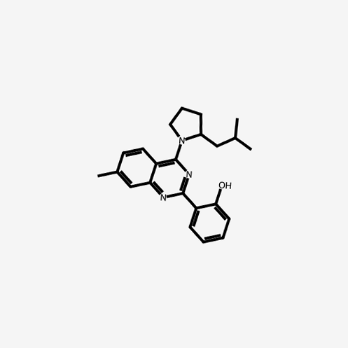 Cc1ccc2c(N3CCCC3CC(C)C)nc(-c3ccccc3O)nc2c1